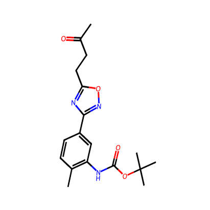 CC(=O)CCc1nc(-c2ccc(C)c(NC(=O)OC(C)(C)C)c2)no1